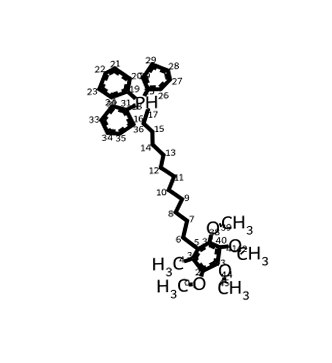 COc1c(C)c(CCCCCCCCCCCC[PH](c2ccccc2)(c2ccccc2)c2ccccc2)c(OC)c(OC)c1OC